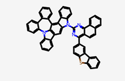 c1ccc2c(c1)-c1ccccc1-n1c3ccccc3c3cc4c(c-2c31)c1ccccc1n4-c1nc(-c2ccc3sc4ccccc4c3c2)c2ccc3ccccc3c2n1